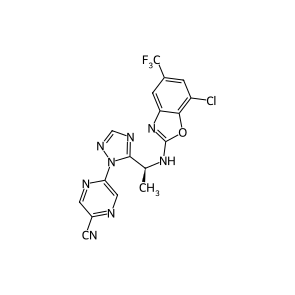 C[C@H](Nc1nc2cc(C(F)(F)F)cc(Cl)c2o1)c1ncnn1-c1cnc(C#N)cn1